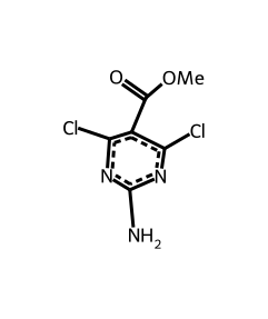 COC(=O)c1c(Cl)nc(N)nc1Cl